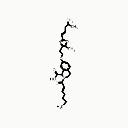 CCCCC=CC(=O)N1CCc2ccc(OCCc3nc(C=CCC(C)C)oc3C)cc2C1C(=O)O